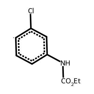 CCOC(=O)Nc1cc[c]c(Cl)c1